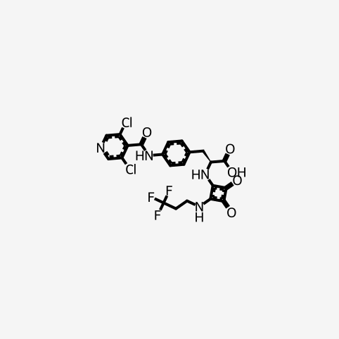 O=C(Nc1ccc(C[C@H](Nc2c(NCCC(F)(F)F)c(=O)c2=O)C(=O)O)cc1)c1c(Cl)cncc1Cl